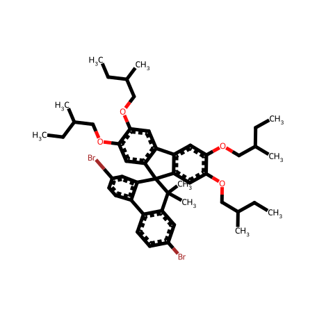 CCC(C)COc1cc2c(cc1OCC(C)CC)C1(c3cc(Br)ccc3-c3ccc(Br)cc3C1(C)C)c1cc(OCC(C)CC)c(OCC(C)CC)cc1-2